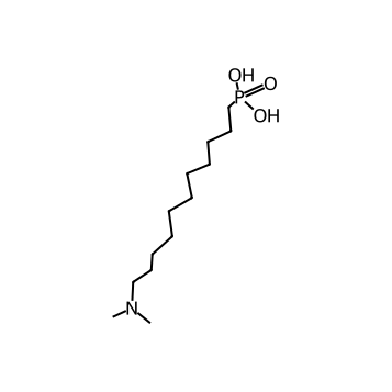 CN(C)CCCCCCCCCCCP(=O)(O)O